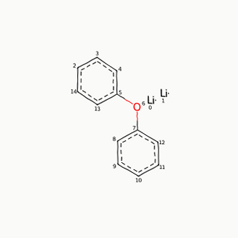 [Li].[Li].c1ccc(Oc2ccccc2)cc1